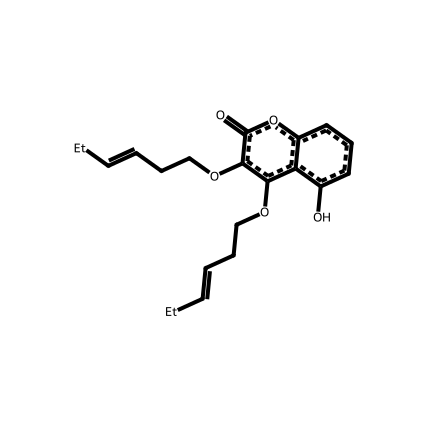 CCC=CCCOc1c(OCCC=CCC)c2c(O)cccc2oc1=O